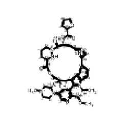 CCn1c(-c2cc(N3CCN(C)CC3)cnc2[C@H](C)OC)c2c3cc(ccc31)-c1csc(n1)C[C@H](NC(=O)[C@H]1CCCO1)C(=O)N1CCC[C@H](N1)C(=O)OCC(C)(C)C2